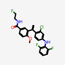 C=C(c1ccc(Nc2c(F)cccc2F)cc1Cl)c1cc(C(=O)NCCF)ccc1OC